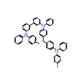 Cc1ccc(N(c2ccccc2)c2ccc(Cc3ccc(N(c4ccccc4)c4cccc(-c5cccc(N(c6ccccc6)c6ccc(C)cc6)c5)c4)cc3)cc2)cc1